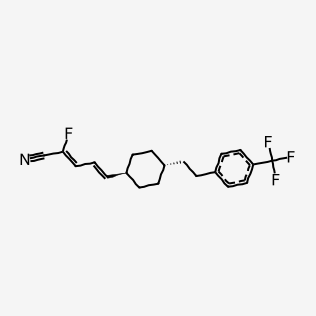 N#C/C(F)=C/C=C/[C@H]1CC[C@H](CCc2ccc(C(F)(F)F)cc2)CC1